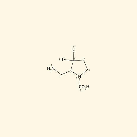 NCC1N(C(=O)O)CCC1(F)F